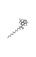 CCCCCCCCCCCOC(=O)c1cc(C(C)(C)C)c(O)c(C(C)(C)C)c1